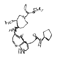 C=CC(=O)N1CC[C@@H](Nc2cnc3[nH]cc(C(=O)NC4CCCC4)c3n2)[C@@H](O)C1